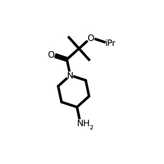 CC(C)OC(C)(C)C(=O)N1CCC(N)CC1